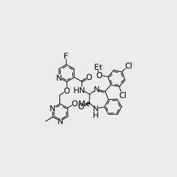 CCOc1cc(Cl)cc(Cl)c1C1=NC(NC(=O)c2cc(F)cnc2OCc2nc(C)ncc2OC)C(=O)Nc2ccccc21